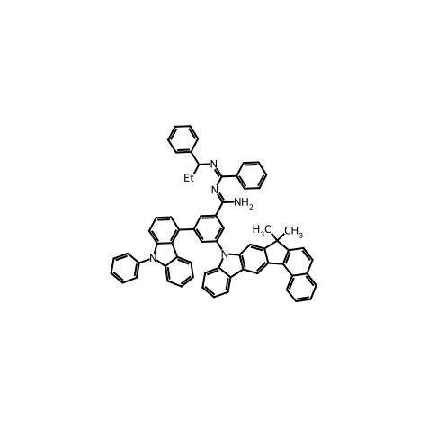 CCC(/N=C(\N=C(/N)c1cc(-c2cccc3c2c2ccccc2n3-c2ccccc2)cc(-n2c3ccccc3c3cc4c(cc32)C(C)(C)c2ccc3ccccc3c2-4)c1)c1ccccc1)c1ccccc1